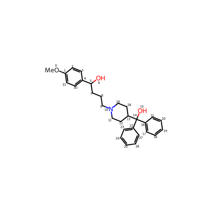 COc1ccc(C(O)CCCN2CCC(C(O)(c3ccccc3)c3ccccc3)CC2)cc1